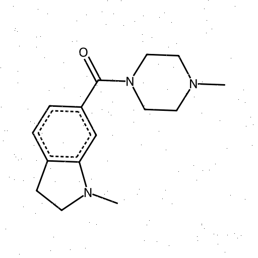 CN1CCN(C(=O)c2ccc3c(c2)N(C)CC3)CC1